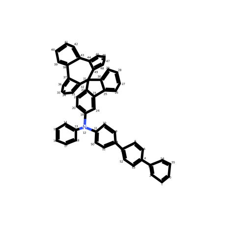 c1ccc(-c2ccc(-c3ccc(N(c4ccccc4)c4ccc5c(c4)-c4ccccc4C54c5ccccc5-c5ccccc5-c5ccccc54)cc3)cc2)cc1